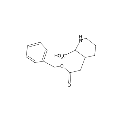 O=C(CC1CCCNC1C(=O)O)OCc1ccccc1